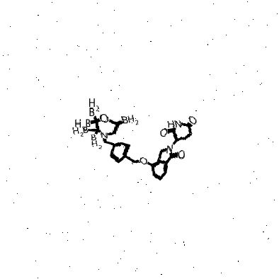 BC1CN(Cc2ccc(COc3cccc4c3CN(C3CCC(=O)NC3=O)C4=O)cc2)C(B)(B)C(B)(B)O1